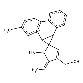 C/C=C1/C(CO)=CC2(C3c4ccccc4-c4ccc(C)c[n+]4C32)N1C